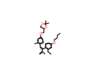 C=C(C)/C(=C/c1ccc(OCC2COC(C)(C)O2)cc1C)c1ccc(OCCCC)cc1CC